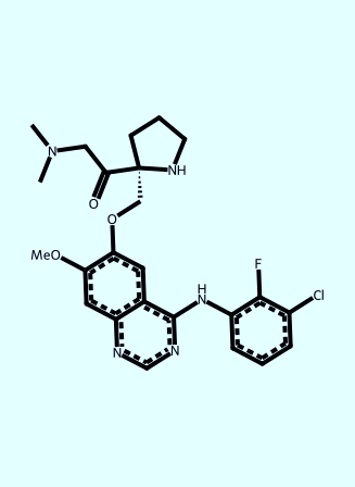 COc1cc2ncnc(Nc3cccc(Cl)c3F)c2cc1OC[C@]1(C(=O)CN(C)C)CCCN1